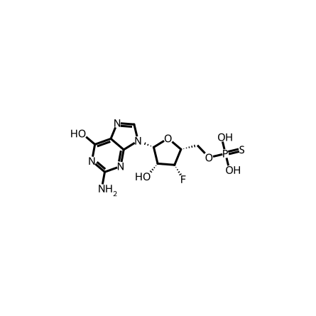 Nc1nc(O)c2ncn([C@@H]3O[C@H](COP(O)(O)=S)[C@H](F)[C@@H]3O)c2n1